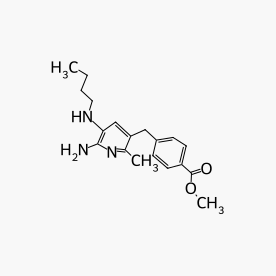 CCCCNc1cc(Cc2ccc(C(=O)OC)cc2)c(C)nc1N